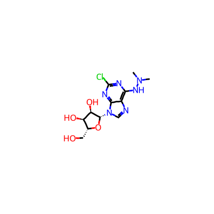 CN(C)Nc1nc(Cl)nc2c1ncn2[C@@H]1O[C@H](CO)[C@@H](O)[C@H]1O